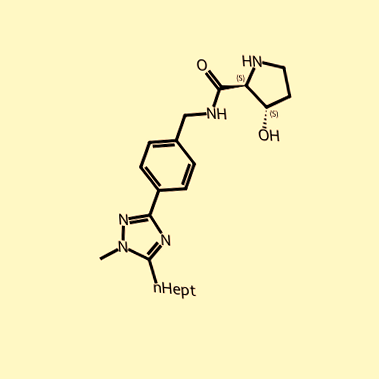 CCCCCCCc1nc(-c2ccc(CNC(=O)[C@H]3NCC[C@@H]3O)cc2)nn1C